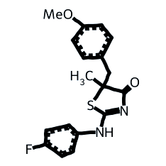 COc1ccc(CC2(C)SC(Nc3ccc(F)cc3)=NC2=O)cc1